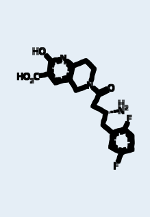 N[C@@H](CC(=O)N1CCc2nc(O)c(C(=O)O)cc2C1)Cc1cc(F)ccc1F